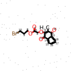 CC1=C(OCC(=O)OCCCBr)C(=O)c2ccccc2C1=O